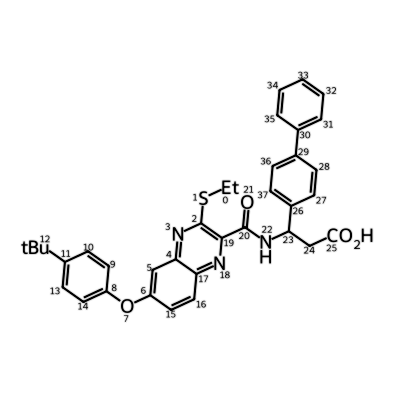 CCSc1nc2cc(Oc3ccc(C(C)(C)C)cc3)ccc2nc1C(=O)NC(CC(=O)O)c1ccc(-c2ccccc2)cc1